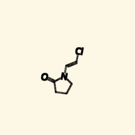 O=C1CCCN1C=CCl